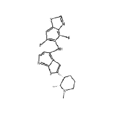 C[C@@H]1[C@H](c2cc3c(Nc4c(F)cc5scnc5c4F)ccnc3s2)CCCN1C